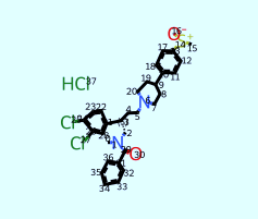 CN(C[C@@H](CCN1CCC(c2ccc([S+](C)[O-])cc2)CC1)c1ccc(Cl)c(Cl)c1)C(=O)c1ccccc1.Cl